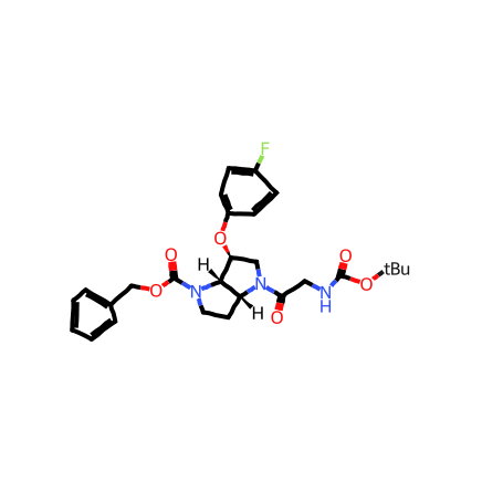 CC(C)(C)OC(=O)NCC(=O)N1C[C@H](Oc2ccc(F)cc2)[C@@H]2[C@H]1CCN2C(=O)OCc1ccccc1